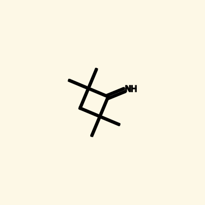 CC1(C)CC(C)(C)C1=N